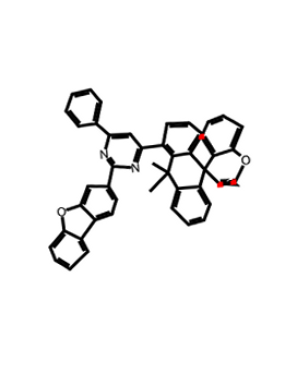 CC1(C)c2ccccc2C2(c3ccccc3Oc3ccccc32)c2cccc(-c3cc(-c4ccccc4)nc(-c4ccc5c(c4)oc4ccccc45)n3)c21